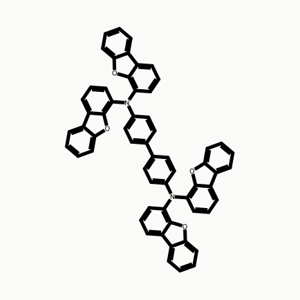 c1ccc2c(c1)oc1c(N(c3ccc(-c4ccc(N(c5cccc6c5oc5ccccc56)c5cccc6c5oc5ccccc56)cc4)cc3)c3cccc4c3oc3ccccc34)cccc12